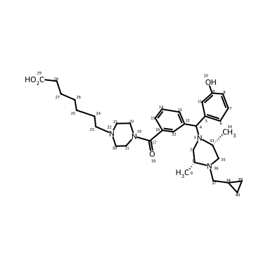 C[C@@H]1CN(C(c2cccc(O)c2)c2cccc(C(=O)N3CCN(CCCCCCC(=O)O)CC3)c2)[C@H](C)CN1CC1CC1